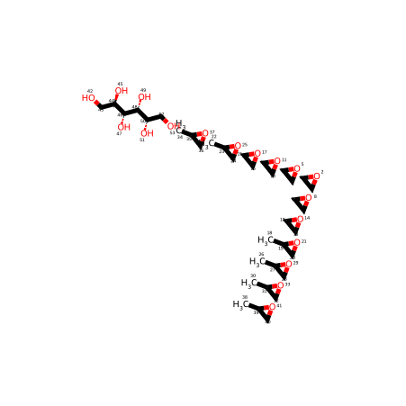 C1CO1.C1CO1.C1CO1.C1CO1.C1CO1.C1CO1.CC1CO1.CC1CO1.CC1CO1.CC1CO1.CC1CO1.CC1CO1.OC[C@@H](O)[C@@H](O)[C@H](O)[C@@H](O)CO